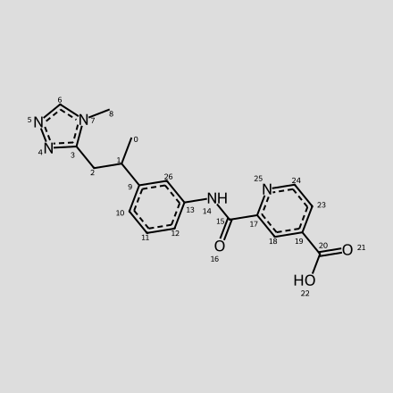 CC(Cc1nncn1C)c1cccc(NC(=O)c2cc(C(=O)O)ccn2)c1